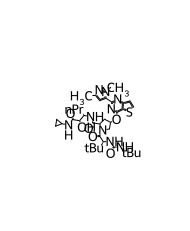 CCC[C@H](NC(=O)C1CC(Oc2nc(-c3cc(C)nn3C)nc3ccsc23)CN1C(=O)[C@@H](NC(=O)NC(C)(C)C)C(C)(C)C)C(O)C(=O)NC1CC1